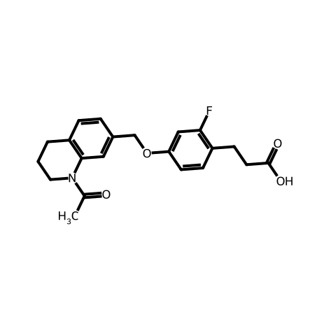 CC(=O)N1CCCc2ccc(COc3ccc(CCC(=O)O)c(F)c3)cc21